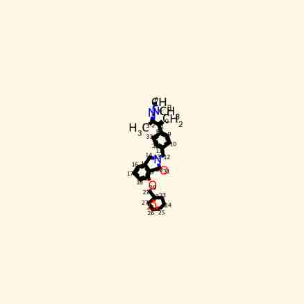 C=C(/C(C)=N\N(C)C)c1ccc(CN2Cc3cccc(OCC45CCC(CC4)O5)c3C2=O)cc1